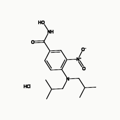 CC(C)CN(CC(C)C)c1ccc(C(=O)NO)cc1[N+](=O)[O-].Cl